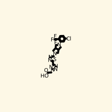 O=C(O)Cn1nnc(-c2nnc(N3CC4CN(c5cc(Cl)ccc5C(F)(F)F)CC4C3)s2)n1